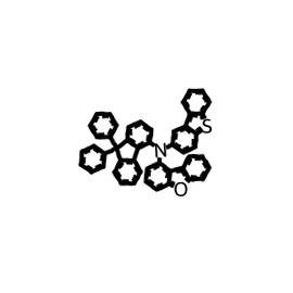 c1ccc(C2(c3ccccc3)c3ccccc3-c3c(N(c4ccc5sc6ccccc6c5c4)c4cccc5oc6ccccc6c45)cccc32)cc1